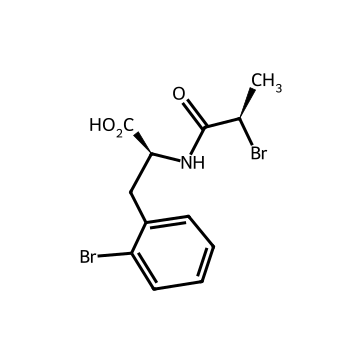 C[C@@H](Br)C(=O)N[C@@H](Cc1ccccc1Br)C(=O)O